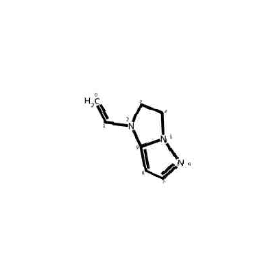 C=[C]N1CCn2nccc21